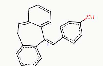 Oc1ccc(/C=C2\C3=CC=CCC3=CCc3ccccc32)cc1